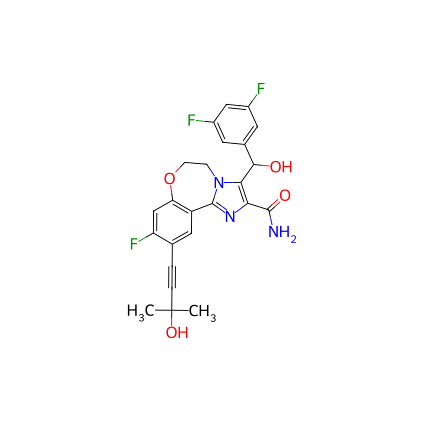 CC(C)(O)C#Cc1cc2c(cc1F)OCCn1c-2nc(C(N)=O)c1C(O)c1cc(F)cc(F)c1